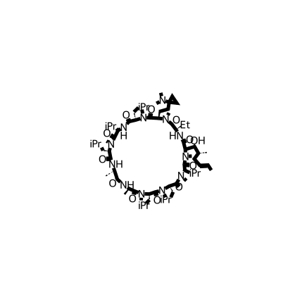 C/C=C/C[C@@H](C)[C@@H](O)C1C(=O)N[C@@H](CC)C(=O)N(C)[C@H](CCC2(N(C)C)CC2)C(=O)N(C)[C@@H](CC(C)C)C(=O)NC(C(C)C)C(=O)N(C)[C@@H](CC(C)C)C(=O)N[C@@H](C)C(=O)N[C@H](C)C(=O)N(C)[C@@H](CC(C)C)C(=O)N(C)[C@@H](CC(C)C)C(=O)N(C)C(C(C)C)C(=O)N1C